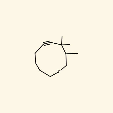 CC1CCCCCCC#CC1(C)C